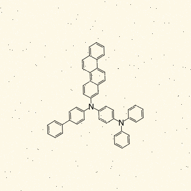 c1ccc(-c2ccc(N(c3ccc(N(c4ccccc4)c4ccccc4)cc3)c3ccc4c(ccc5c6ccccc6ccc45)c3)cc2)cc1